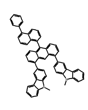 Cn1c2ccccc2c2cc(-c3cccc4c(-c5cccc6c(-c7ccccc7)cccc56)c5cccc(-c6ccc7c(c6)c6ccccc6n7C)c5cc34)ccc21